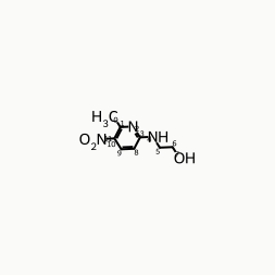 Cc1nc(NCCO)ccc1[N+](=O)[O-]